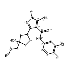 CC(C)OCC1(O)CCC(c2nn(C)c(N)c2C(=O)Nc2ccc(F)c(Cl)c2)C1